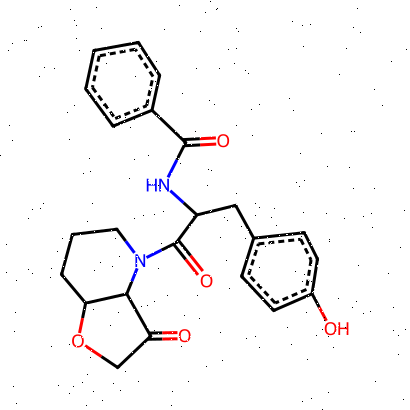 O=C(NC(Cc1ccc(O)cc1)C(=O)N1CCCC2OCC(=O)C21)c1ccccc1